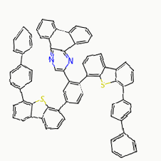 c1ccc(-c2ccc(-c3cccc4c3sc3c(-c5ccc(-c6cccc7c6sc6c(-c8ccc(-c9ccccc9)cc8)cccc67)c(-c6cnc7c8ccccc8c8ccccc8c7n6)c5)cccc34)cc2)cc1